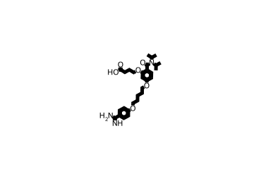 CC(C)N(C(=O)c1ccc(OCCCCCOc2ccc(C(=N)N)cc2)cc1OCCCC(=O)O)C(C)C